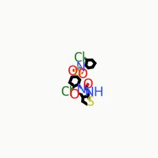 CN(c1ccccc1Cl)S(=O)(=O)c1ccc(Cl)c(-n2c(=O)[nH]c3sccc3c2=O)c1